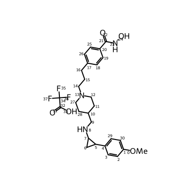 COc1ccc(C2CC2NCC2CCN(CCCc3ccc(C(=O)NO)cc3)CC2)cc1.O=C(O)C(F)(F)F